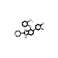 Cn1cc(-c2ccc3[nH]c(C4CCOCC4)nc3c2Oc2ccccc2C(F)(F)F)ccc1=O